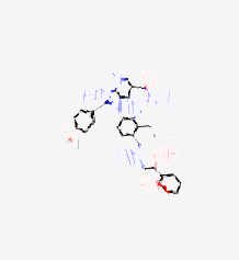 CCc1c(CN[C@@H](CO)[C@@H](O)c2ccccc2)cccc1Nc1c(C(N)=O)cnc2[nH]c(-c3ccc(OC)cc3)nc12